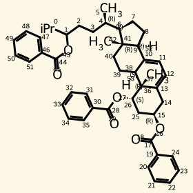 CC(C)C(CC[C@@H](C)[C@H]1CC[C@H]2C3=CC=C4C[C@@H](OC(=O)c5ccccc5)C[C@H](OC(=O)c5ccccc5)[C@]4(C)[C@H]3CC[C@]12C)OC(=O)c1ccccc1